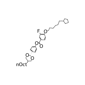 CCCCCCCC[C@H]1CO[C@H](c2ccc(OC(=O)c3ccc(OCCCCCCC4CCCC4)c(F)c3)cc2)OC1